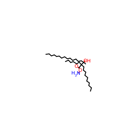 CCCCCCCCCCCCCCC(C)(O)C(CCCCCC)(CCCCCCCCCC)C(=O)ON